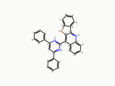 c1ccc(-c2cc(-c3ccccc3)nc(-c3c4ccccc4nc4c3sc3ccccc34)n2)cc1